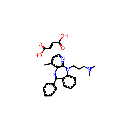 Cc1ccnc2c1N=C(c1ccccc1)c1ccccc1N2CCCN(C)C.O=C(O)C=CC(=O)O